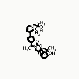 C[C@@H](c1ccc(C2=CN(CC(C)(C)O)CC=C2)cc1)N1CC[C@](CC(C)(C)O)(c2ccccc2)OC1=O